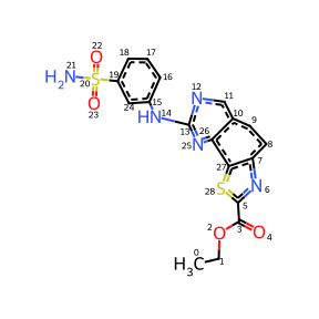 CCOC(=O)c1nc2ccc3cnc(Nc4cccc(S(N)(=O)=O)c4)nc3c2s1